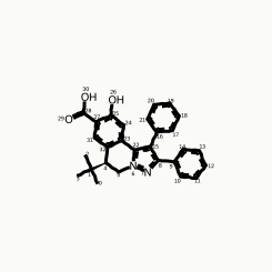 CC(C)(C)[C@@H]1Cn2nc(-c3ccccc3)c(-c3ccccc3)c2-c2cc(O)c(C(=O)O)cc21